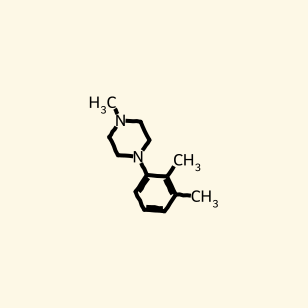 Cc1cccc(N2CCN(C)CC2)c1C